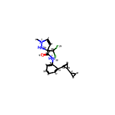 CN1C=CC(C(=O)Nc2ccccc2C2CC2C2CC2)(C(F)F)N1